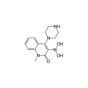 Cn1c(=O)c(N(O)O)c(N2CCNCC2)c2ccccc21